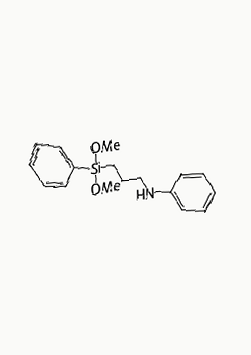 CO[Si](CCCNc1ccccc1)(OC)c1ccccc1